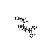 CC(C)(C)OC(=O)NCCNc1nc(-c2cc(-c3ccon3)n(Cc3ccccc3F)n2)ncc1F